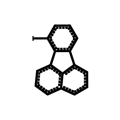 Ic1cccc2c1-c1cccc3cccc-2c13